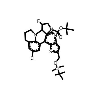 CC(C)(C)OC(=O)N1CC(F)C(N2CCCc3cc(Cl)cc(-c4ccnc5cc(CO[Si](C)(C)C(C)(C)C)sc45)c32)C1